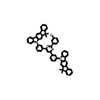 CC1(C)c2ccccc2-c2cc3c4ccccc4n(-c4cccc(-c5cc(-c6cccc(-n7c8ccccc8c8cc9c(cc87)C(C)(C)c7ccccc7-9)c6)nc(-c6cccc(Cl)c6)n5)c4)c3cc21